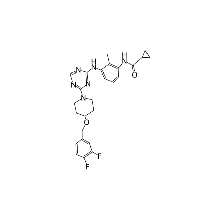 Cc1c(NC(=O)C2CC2)cccc1Nc1ncnc(N2CCC(OCc3ccc(F)c(F)c3)CC2)n1